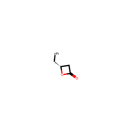 CCCC[C@@H]1CC(=O)O1